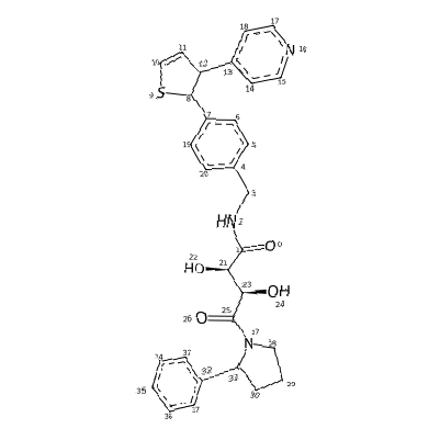 O=C(NCc1ccc(C2SC=CC2c2ccncc2)cc1)[C@H](O)[C@@H](O)C(=O)N1CCCC1c1ccccc1